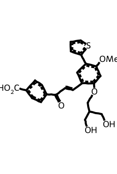 COc1cc(OCC(CO)CO)c(C=CC(=O)c2ccc(C(=O)O)cc2)cc1-c1cccs1